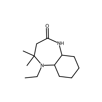 CCN1C2CCCCC2NC(=O)CC1(C)C